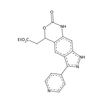 CCOC(=O)CC1OC(=O)Nc2cc3[nH]nc(-c4ccncc4)c3cc21